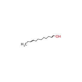 CCC=CCCCCCCC=CO